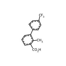 Cc1c(C(=O)O)cccc1-c1ccc(C(F)(F)F)cc1